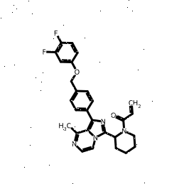 C=CC(=O)N1CCCCC1c1nc(-c2ccc(COc3ccc(F)c(F)c3)cc2)c2c(C)nccn12